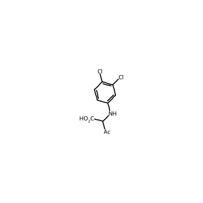 CC(=O)C(Nc1ccc(Cl)c(Cl)c1)C(=O)O